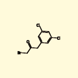 O=C(CBr)Cc1cc(Cl)cc(Cl)c1